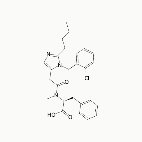 CCCCc1ncc(CC(=O)N(C)[C@@H](Cc2ccccc2)C(=O)O)n1Cc1ccccc1Cl